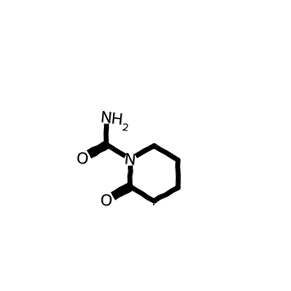 NC(=O)N1CCC[CH]C1=O